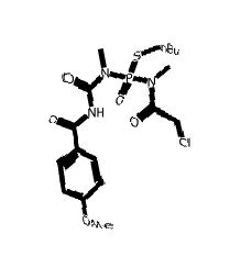 CCCCSP(=O)(N(C)C(=O)CCl)N(C)C(=O)NC(=O)c1ccc(OC)cc1